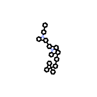 c1ccc(-c2ccc(-n3c4ccccc4c4cc(-c5ccc6c(c5)c5ccccc5n6-c5ccccc5-c5ccccc5-c5ccc(-c6cccc(C7(c8ccccc8)c8ccccc8-c8ccccc87)c6)cc5)ccc43)cc2)cc1